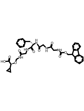 O=C(CNC(=O)OCC1c2ccccc2-c2ccccc21)NCC(=O)N[C@@H](Cc1ccccc1)C(=O)NCC(=O)NCO[C@H](C(=O)O)C1CC1